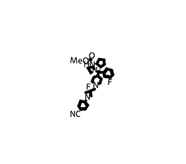 COC(=O)N[C@H]1CCC[C@@H]1C(c1cccc(F)c1)(C1CCN(CC2(F)CN(c3ccc(C#N)cc3)C2)CC1)N1CCC1